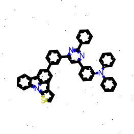 c1ccc(-c2nc(-c3cccc(-c4cc5c6ccccc6n6c7sccc7c(c4)c56)c3)cc(-c3cccc(N(c4ccccc4)c4ccccc4)c3)n2)cc1